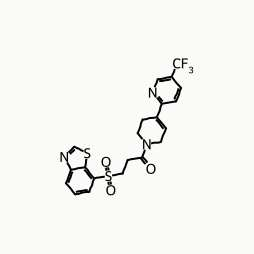 O=C(CCS(=O)(=O)c1cccc2ncsc12)N1CC=C(c2ccc(C(F)(F)F)cn2)CC1